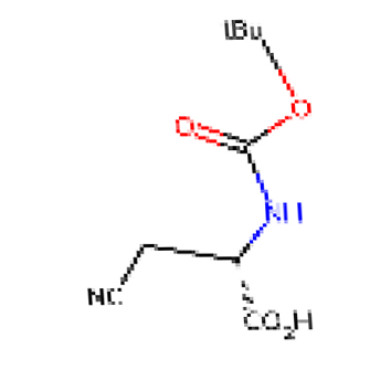 CC(C)(C)OC(=O)N[C@@H](C[13C]#N)C(=O)O